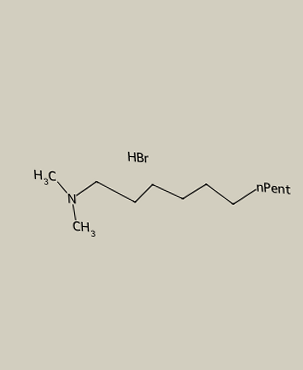 Br.CCCCCCCCCCCN(C)C